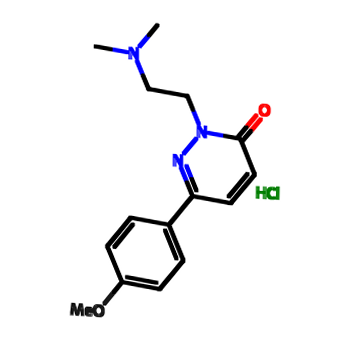 COc1ccc(-c2ccc(=O)n(CCN(C)C)n2)cc1.Cl